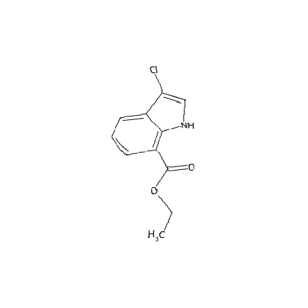 CCOC(=O)c1cccc2c(Cl)c[nH]c12